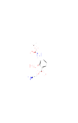 CC(C)(C)OC(=O)NCc1cccc(C(=O)OCC#N)c1O